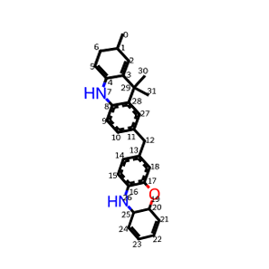 CC1C=C2C(=CC1)Nc1ccc(Cc3ccc4c(c3)OC3C=CC=CC3N4)cc1C2(C)C